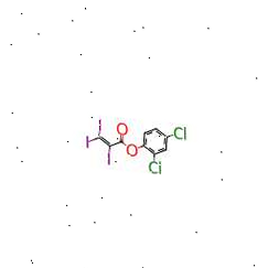 O=C(Oc1ccc(Cl)cc1Cl)C(I)=C(I)I